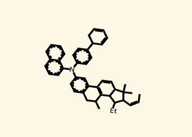 C/C=C\C1C(CC)C2C3=C(C=CC2C1(C)C)c1cc(N(c2ccc(C4C=CC=CC4)cc2)c2cccc4ccccc24)ccc1CC3C